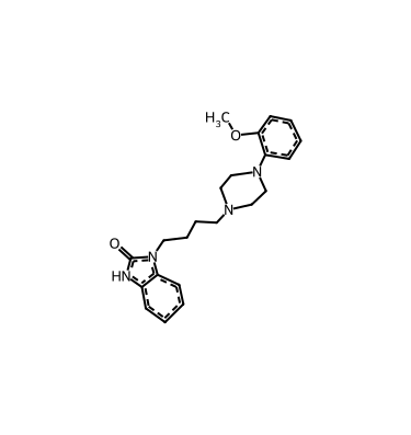 COc1ccccc1N1CCN(CCCCn2c(=O)[nH]c3ccccc32)CC1